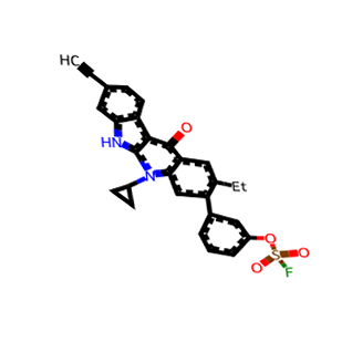 C#Cc1ccc2c(c1)[nH]c1c2c(=O)c2cc(CC)c(-c3cccc(OS(=O)(=O)F)c3)cc2n1C1CC1